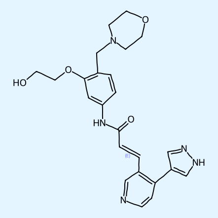 O=C(/C=C/c1cnccc1-c1cn[nH]c1)Nc1ccc(CN2CCOCC2)c(OCCO)c1